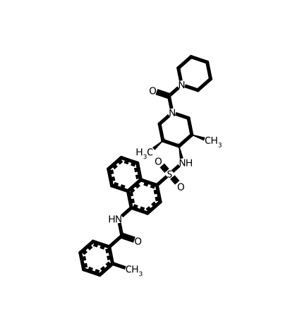 Cc1ccccc1C(=O)Nc1ccc(S(=O)(=O)N[C@@H]2[C@H](C)CN(C(=O)N3CCCCC3)C[C@@H]2C)c2ccccc12